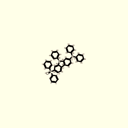 O=P(c1ccccc1)(c1ccccc1)c1ccc2c3ccc(P(c4ccccc4)c4ccccc4)cc3n(-c3ccccc3)c2c1